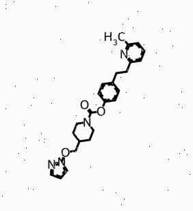 Cc1cccc(CCc2ccc(OC(=O)N3CCC(COn4cccn4)CC3)cc2)n1